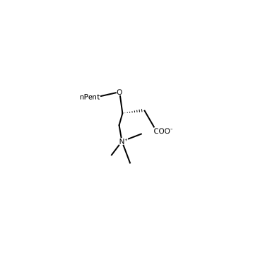 CCCCCO[C@H](CC(=O)[O-])C[N+](C)(C)C